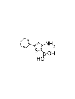 Nc1cc(-c2ccccc2)sc1B(O)O